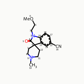 COCCN1C(=O)C2(CCN(C)CC2)c2cc(C#N)ccc21